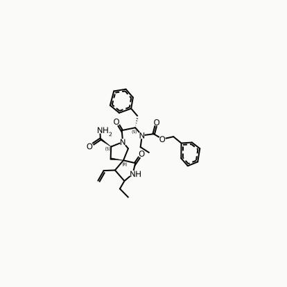 C=CC1C(CC)NC(=O)[C@]12C[C@@H](C(N)=O)N(C(=O)[C@H](Cc1ccccc1)N(CC)C(=O)OCc1ccccc1)C2